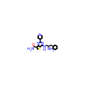 NC(=O)c1csc2c(NC[C@@H](N)Cc3ccccc3)nc(-c3ccncc3)nc12